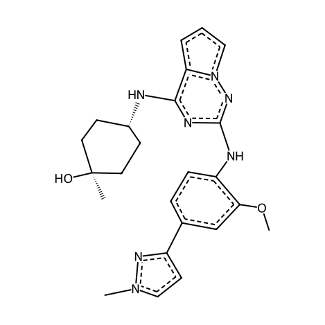 COc1cc(-c2ccn(C)n2)ccc1Nc1nc(N[C@H]2CC[C@](C)(O)CC2)c2cccn2n1